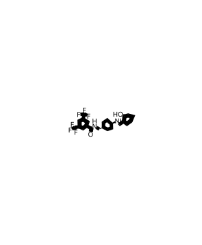 O=C(NC[C@H]1CC[C@H](NCc2ccccc2O)CC1)c1cc(C(F)(F)F)cc(C(F)(F)F)c1